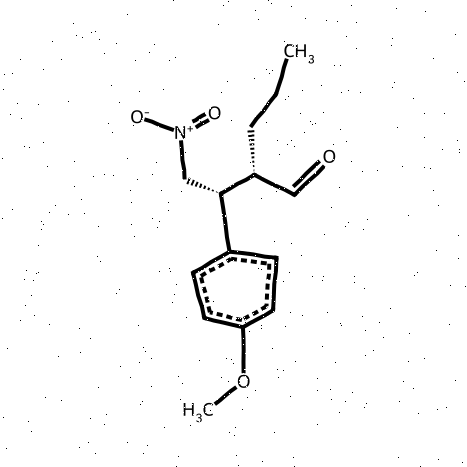 CCC[C@H](C=O)[C@@H](C[N+](=O)[O-])c1ccc(OC)cc1